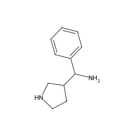 NC(c1cc[c]cc1)C1CCNC1